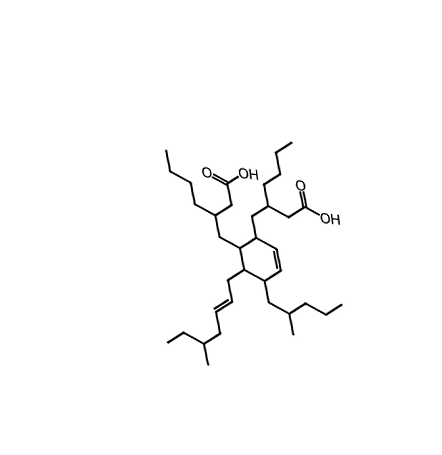 CCCCC(CC(=O)O)CC1C=CC(CC(C)CCC)C(CC=CCC(C)CC)C1CC(CCCC)CC(=O)O